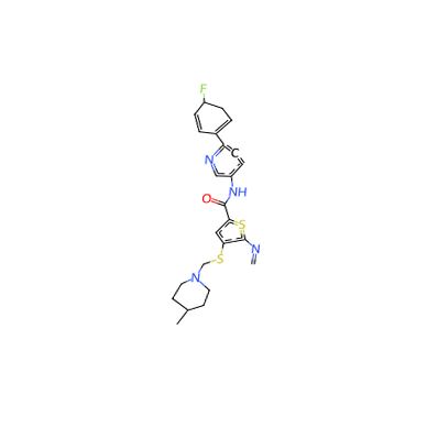 C=Nc1sc(C(=O)Nc2ccc(C3=CCC(F)C=C3)nc2)cc1SCN1CCC(C)CC1